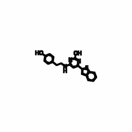 Oc1ccc(CCNc2cc(-c3cc4ccccc4s3)nc(O)n2)cc1